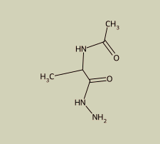 CC(=O)NC(C)C(=O)NN